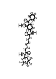 CN1C(C)(C)CC(NC(=O)CCCCCCC(=O)Nc2ccc(C(=O)c3ccccc3)c(O)c2)CC1(C)C